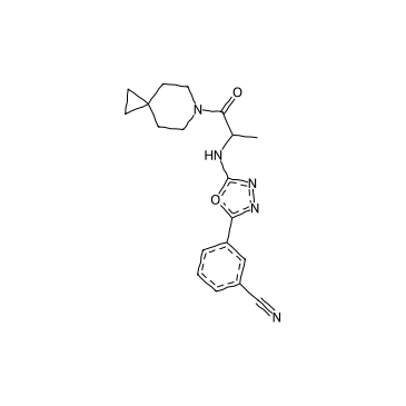 CC(Nc1nnc(-c2cccc(C#N)c2)o1)C(=O)N1CCC2(CC1)CC2